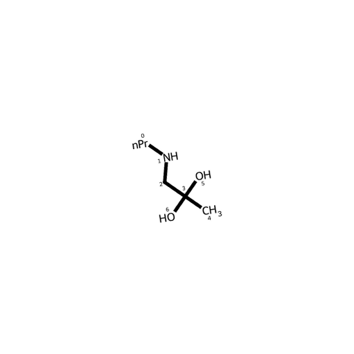 CCCNCC(C)(O)O